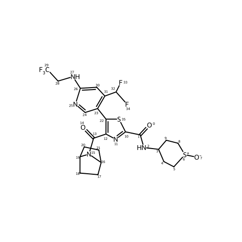 O=C(NC1CC[S+]([O-])CC1)c1nc(C(=O)N2C3CCC2CC3)c(-c2cnc(NCC(F)(F)F)cc2C(F)F)s1